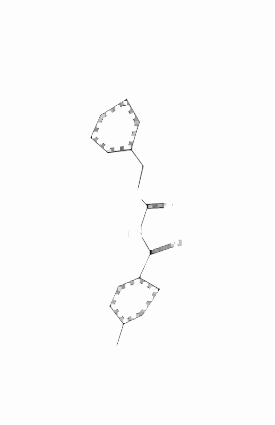 Cc1ccc(C(=N)NC(=O)OCc2ccccc2)cc1